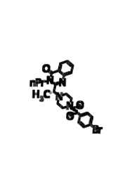 CCCn1c([C@@H](C)N2CCN(S(=O)(=O)c3ccc(Br)cc3)CC2)nc2ccccc2c1=O